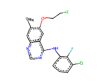 COc1cc2ncnc(Nc3cccc(Cl)c3F)c2cc1OCCCl